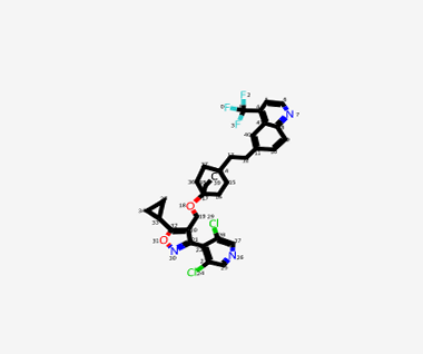 FC(F)(F)c1ccnc2ccc(CCC34CCC(OCc5c(-c6c(Cl)cncc6Cl)noc5C5CC5)(CC3)CC4)cc12